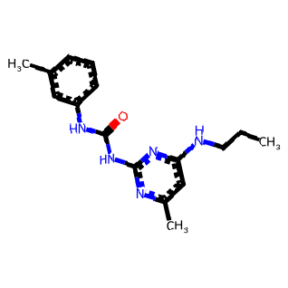 CCCNc1cc(C)nc(NC(=O)Nc2cccc(C)c2)n1